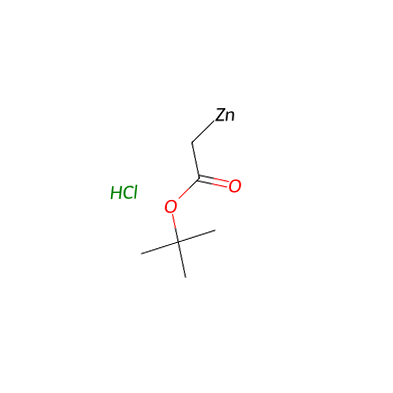 CC(C)(C)OC(=O)[CH2][Zn].Cl